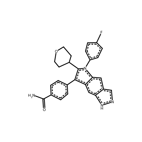 NC(=O)c1ccc(-c2c(C3CCOCC3)n(-c3ccc(F)cc3)c3cc4cn[nH]c4cc23)cc1